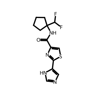 O=C(NC1(C(F)F)CCCC1)c1csc(-c2cnc[nH]2)n1